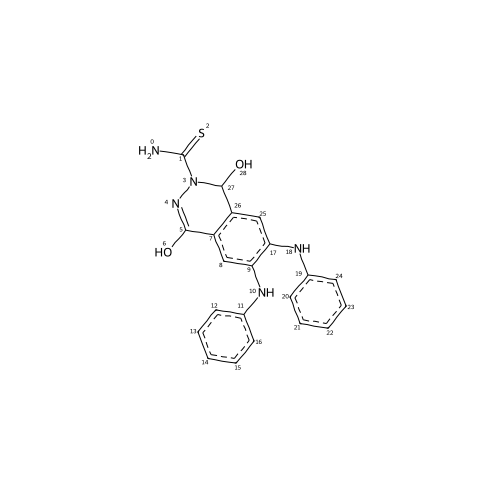 NC(=S)N1N=C(O)c2cc(Nc3ccccc3)c(Nc3ccccc3)cc2C1O